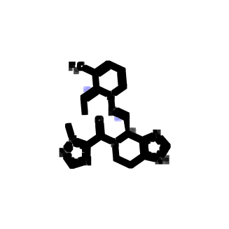 C/C=C1/C(C(F)(F)F)=CC=CN1/N=C/[C@H]1c2nc[nH]c2CCN1C(=O)c1ncnn1C